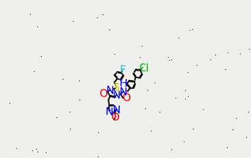 COc1ncc(Cc2cn(C(C=O)NCc3ccc(-c4ccc(Cl)cc4)cc3)c(SCc3ccc(F)cc3)nc2=O)cn1